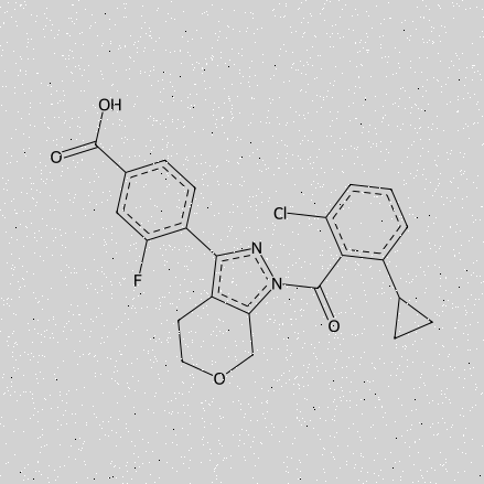 O=C(O)c1ccc(-c2nn(C(=O)c3c(Cl)cccc3C3CC3)c3c2CCOC3)c(F)c1